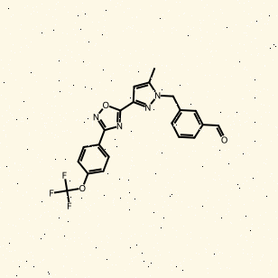 Cc1cc(-c2nc(-c3ccc(OC(F)(F)F)cc3)no2)nn1Cc1cccc(C=O)c1